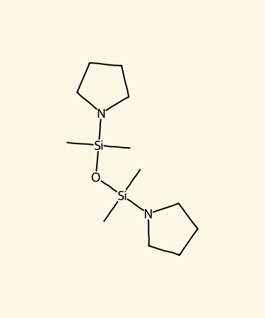 C[Si](C)(O[Si](C)(C)N1CCCC1)N1CCCC1